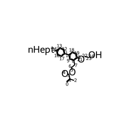 C=C(C)C(=O)OCCc1cc(-c2ccc(CCCCCCC)cc2)ccc1OCCO